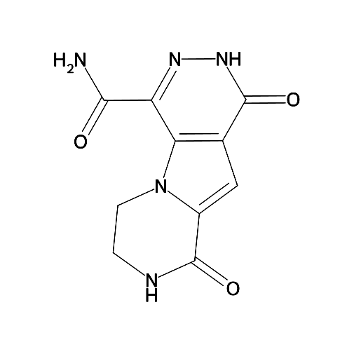 NC(=O)c1n[nH]c(=O)c2cc3n(c12)CCNC3=O